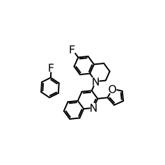 Fc1ccc2c(c1)CCCN2c1cc2ccccc2nc1-c1ccco1.Fc1ccccc1